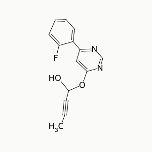 CC#CC(O)Oc1cc(-c2ccccc2F)ncn1